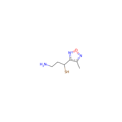 Cc1nonc1C(S)CCN